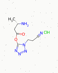 C[C@H](N)CC(=O)Oc1nnnn1CCC#N.Cl